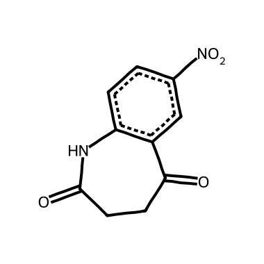 O=C1CCC(=O)c2cc([N+](=O)[O-])ccc2N1